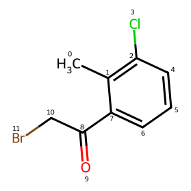 Cc1c(Cl)cccc1C(=O)CBr